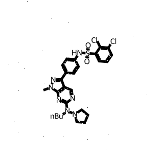 CCCCN(c1ncc2c(-c3ccc(NS(=O)(=O)c4cccc(Cl)c4Cl)cc3)nn(C)c2n1)N1CCCC1